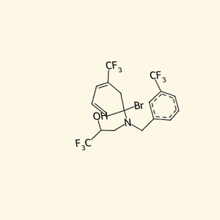 OC(CN(Cc1cccc(C(F)(F)F)c1)C1(Br)C=CC=C(C(F)(F)F)C1)C(F)(F)F